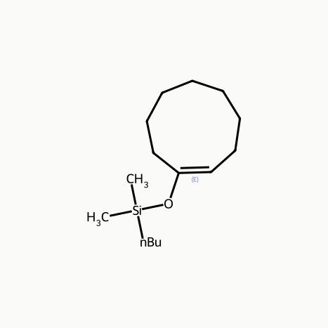 CCCC[Si](C)(C)O/C1=C/CCCCCCC1